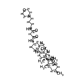 C=C[C@]12[C@H](C[C@H]3[C@@H]4CC[C@@H]5C[C@@H](NC(=O)CC(=O)NCCCN6CCOCC6)CC[C@]5(C)[C@H]4CC[C@@]31C)O[C@]1(CC[C@H](C)CO1)[C@H]2C